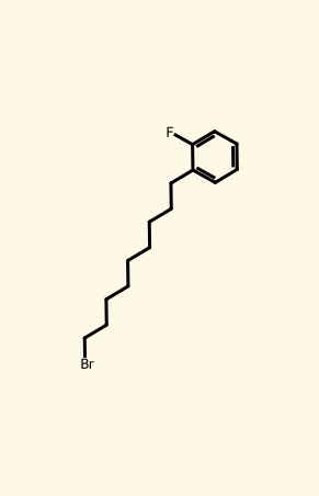 Fc1ccccc1CCCCCCCCCBr